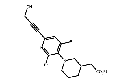 CCOC(=O)CC1CCCN(c2c(F)cc(C#CCO)nc2CC)C1